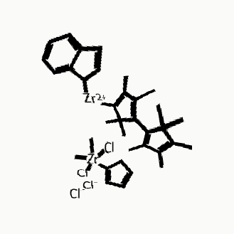 CC1=C(C)C(C)(C)C(C2=C(C)C(C)=C(C)C2(C)C)=C1C.[CH3][Zr]([CH3])([Cl])([Cl])[C]1=CC=CC1.[Cl-].[Cl-].[Zr+2][CH]1C=Cc2ccccc21